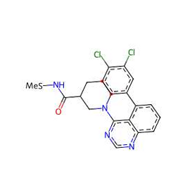 CSNC(=O)C1CCCN(c2ncnc3cccc(-c4ccc(Cl)c(Cl)c4)c23)C1